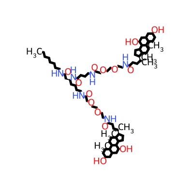 CCCCCCCCNC(=O)C[C@H](CCCCNC(=O)COCCOCCNC(=O)CCC(C)[C@H]1CCC2C3C(CC[C@@]21C)[C@@]1(C)CC[C@@H](O)CC1C[C@H]3O)NC(=O)CCCNC(=O)COCCOCCNC(=O)CCC(C)[C@H]1CCC2C3C(CC[C@@]21C)[C@@]1(C)CC[C@@H](O)CC1C[C@H]3O